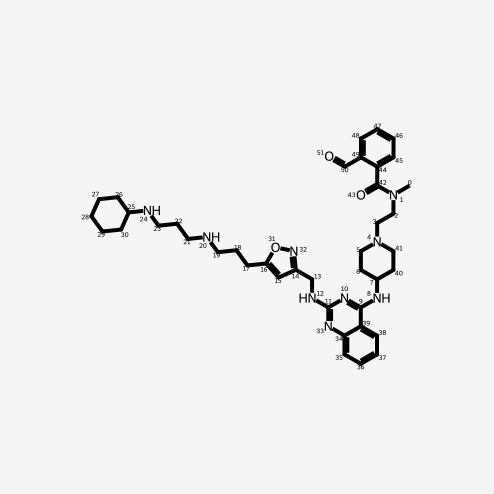 CN(CCN1CCC(Nc2nc(NCc3cc(CCCNCCCNC4CCCCC4)on3)nc3ccccc23)CC1)C(=O)c1ccccc1C=O